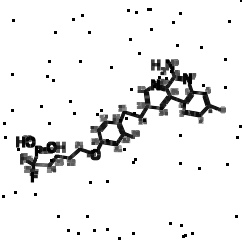 Cc1ccc2c(c1)nc(N)c1ncc(CCc3ccc(OCCCCC(F)(F)P(O)O)cc3C)cc12